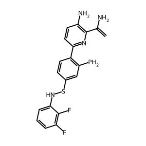 C=C(N)c1nc(-c2ccc(SNc3cccc(F)c3F)cc2P)ccc1N